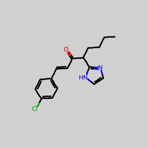 CCCCC(C(=O)C=Cc1ccc(Cl)cc1)c1ncc[nH]1